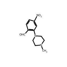 CN1CCN(c2cc([N+](=O)[O-])ccc2C=O)CC1